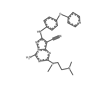 CN(C)CCN(C)c1nc(N)n2nc(Nc3ccc(Oc4ccncc4)cc3)c(C#N)c2n1